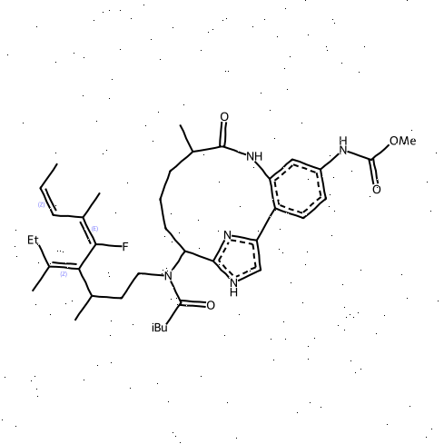 C\C=C/C(C)=C(F)\C(=C(\C)CC)C(C)CCN(C(=O)C(C)CC)C1CCCC(C)C(=O)Nc2cc(NC(=O)OC)ccc2-c2c[nH]c1n2